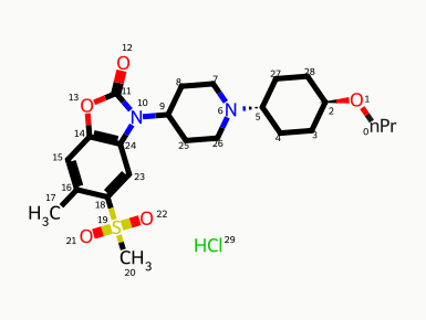 CCCO[C@H]1CC[C@H](N2CCC(n3c(=O)oc4cc(C)c(S(C)(=O)=O)cc43)CC2)CC1.Cl